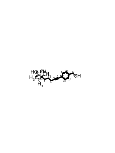 CC(C)(CCCC#Cc1ccc(CO)cc1)[Si](C)(C)O